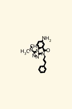 CN(C)c1nnc2n(CC=Cc3ccccc3)c(=O)c3cc(N)ccc3n12